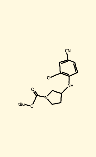 CC(C)(C)OC(=O)N1CCC(Nc2ccc(C#N)cc2Cl)C1